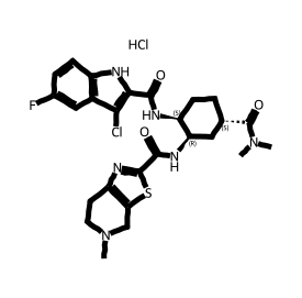 CN1CCc2nc(C(=O)N[C@@H]3C[C@@H](C(=O)N(C)C)CC[C@@H]3NC(=O)c3[nH]c4ccc(F)cc4c3Cl)sc2C1.Cl